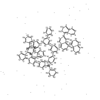 C1=c2ccccc2=C(c2ccc3c(-c4cc(-c5cc(-c6ccccc6)cc(-c6ccccc6)c5)cc(-c5ccc6c(c5)c5cc(-c7ccccc7-c7ccccc7-c7nc(-c8ccccc8)nc(-c8ccccc8)n7)ccc5n6-c5ccccc5)c4)ccc(-c4cccc5ccccc45)c3c2)CC1